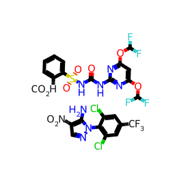 Nc1c([N+](=O)[O-])cnn1-c1c(Cl)cc(C(F)(F)F)cc1Cl.O=C(Nc1nc(OC(F)F)cc(OC(F)F)n1)NS(=O)(=O)c1ccccc1C(=O)O